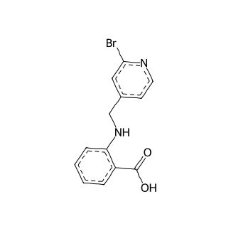 O=C(O)c1ccccc1NCc1ccnc(Br)c1